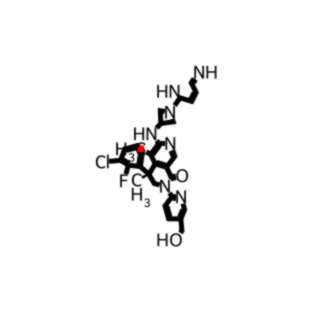 Cc1c(NC2CN(C(=N)/C=C\C=N)C2)ncc2c1[C@@](C)(c1cccc(Cl)c1F)CN(c1ccc(CO)cn1)C2=O